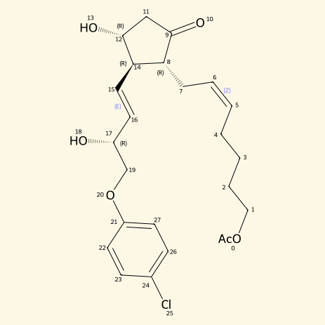 CC(=O)OCCCC/C=C\C[C@H]1C(=O)C[C@@H](O)[C@@H]1/C=C/[C@@H](O)COc1ccc(Cl)cc1